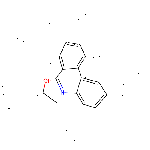 CCO.c1ccc2c(c1)cnc1ccccc12